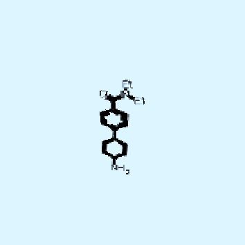 CCN(CC)C(=O)c1ccc(C2CCC(N)CC2)cc1